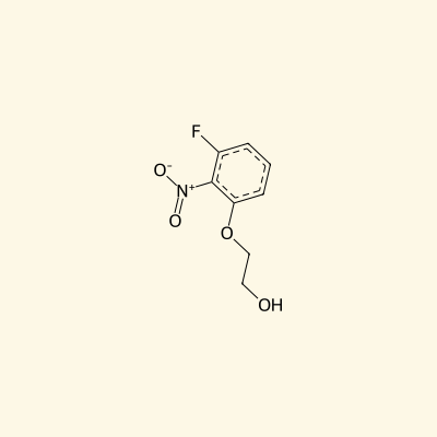 O=[N+]([O-])c1c(F)cccc1OCCO